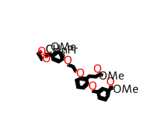 CCCc1c(OCCCOc2cccc(OCc3cccc(C(=O)OC)c3)c2CCC(=O)OC)ccc(C2(C)OCCO2)c1OC